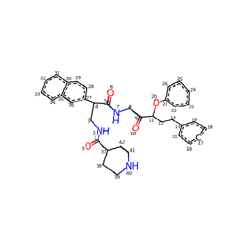 O=C(NCC(C(=O)NCC(=O)C(CCc1ccccc1)Oc1ccccc1)c1ccc2ccccc2c1)C1CCNCC1